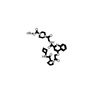 CCCCOC(=O)N1CCN(C(=O)CNC(=O)c2cc(OCC(=O)N3CCCC3C(=O)NC3CCC3)c3ccccc3n2)CC1